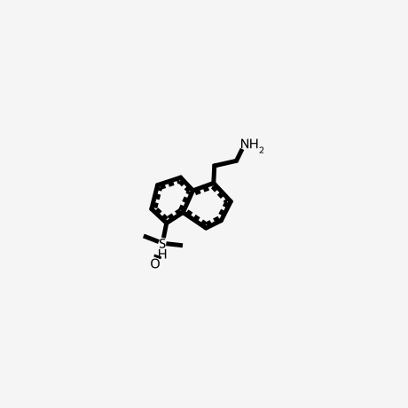 C[SH](C)(=O)c1cccc2c(CCN)cccc12